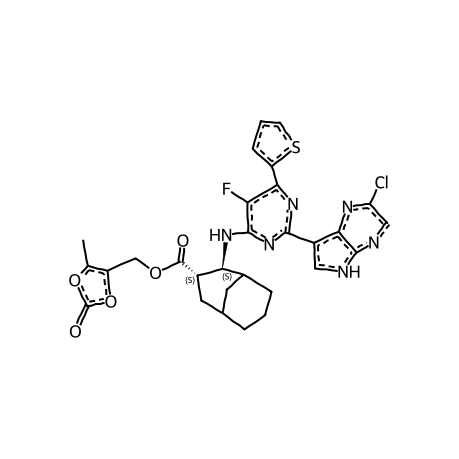 Cc1oc(=O)oc1COC(=O)[C@H]1CC2CCCC(C2)[C@@H]1Nc1nc(-c2c[nH]c3ncc(Cl)nc23)nc(-c2cccs2)c1F